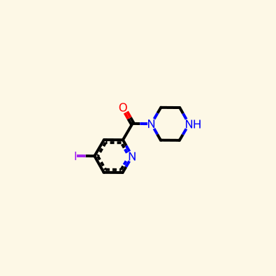 O=C(c1cc(I)ccn1)N1CCNCC1